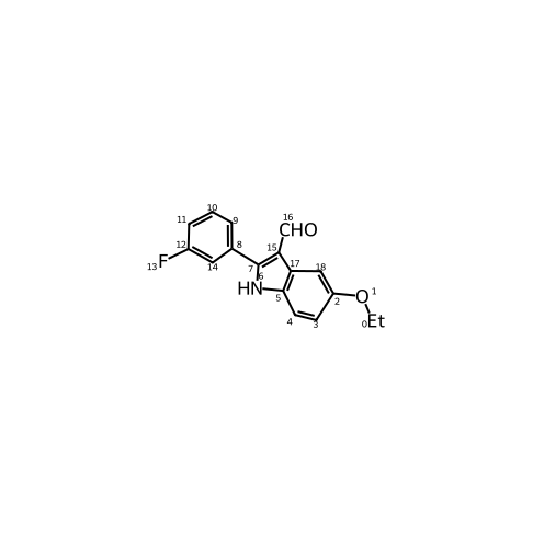 CCOc1ccc2[nH]c(-c3cccc(F)c3)c(C=O)c2c1